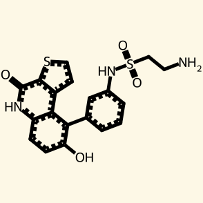 NCCS(=O)(=O)Nc1cccc(-c2c(O)ccc3[nH]c(=O)c4sccc4c23)c1